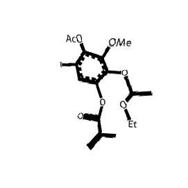 C=C(C)C(=O)Oc1cc(I)c(OC(C)=O)c(OC)c1OC(C)OCC